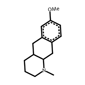 COc1ccc2c(c1)CC1CCCN(C)C1C2